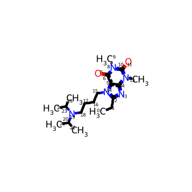 CCc1nc2c(c(=O)n(C)c(=O)n2C)n1CCCCN(C(C)C)C(C)C